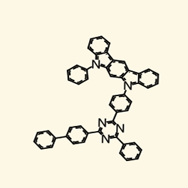 c1ccc(-c2ccc(-c3nc(-c4ccccc4)nc(-c4ccc(-n5c6ccccc6c6cc7c8ccccc8n(-c8ccccc8)c7cc65)cc4)n3)cc2)cc1